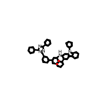 c1ccc(C2=NC(c3ccccc3)N3C(c4cccc(-c5cccc(Nc6cc7c(cc6-c6ccccc6)c6ccccc6n7-c6ccccc6)c5)c4)N23)cc1